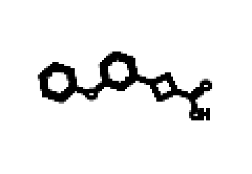 O=C(O)C1CC(c2cccc(Oc3ccccc3)c2)C1